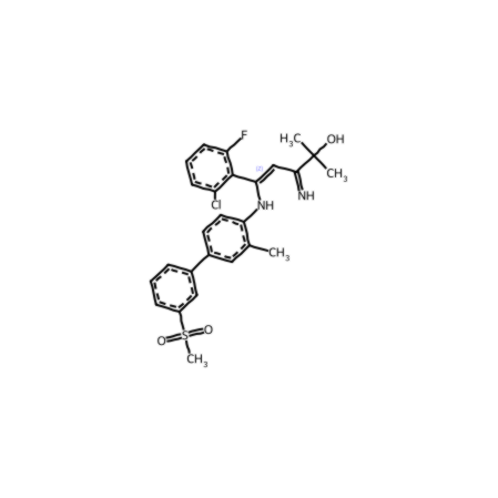 Cc1cc(-c2cccc(S(C)(=O)=O)c2)ccc1N/C(=C\C(=N)C(C)(C)O)c1c(F)cccc1Cl